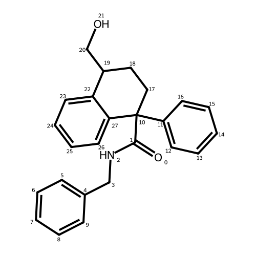 O=C(NCc1ccccc1)C1(c2ccccc2)CCC(CO)c2ccccc21